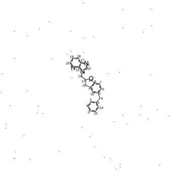 c1ccc(Cc2ccc3c(c2)CC(Cn2cnc4cccnc42)O3)cc1